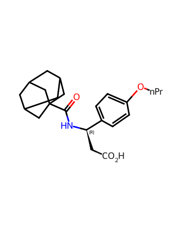 CCCOc1ccc([C@@H](CC(=O)O)NC(=O)C23CC4CC(CC(C4)C2)C3)cc1